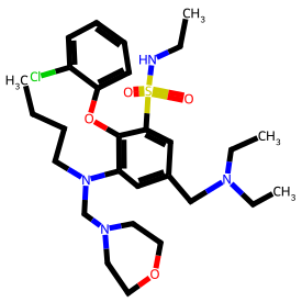 CCCCN(CN1CCOCC1)c1cc(CN(CC)CC)cc(S(=O)(=O)NCC)c1Oc1ccccc1Cl